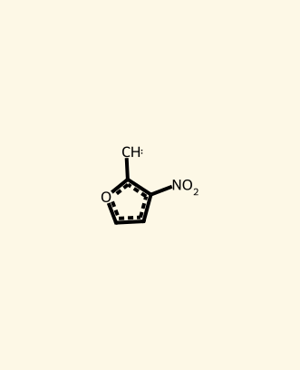 [CH]c1occc1[N+](=O)[O-]